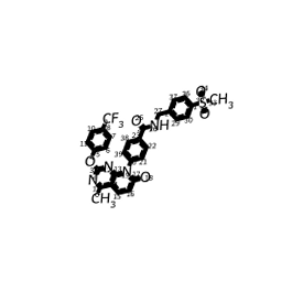 Cc1nc(Oc2ccc(C(F)(F)F)cc2)nc2c1ccc(=O)n2-c1ccc(C(=O)NCc2ccc(S(C)(=O)=O)cc2)cc1